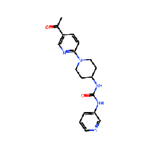 CC(=O)c1ccc(N2CCC(NC(=O)Nc3cccnc3)CC2)nc1